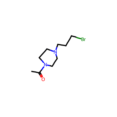 CC(=O)N1CCN(CCCBr)CC1